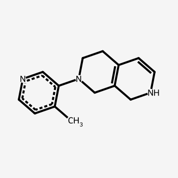 Cc1ccncc1N1CCC2=C(CNC=C2)C1